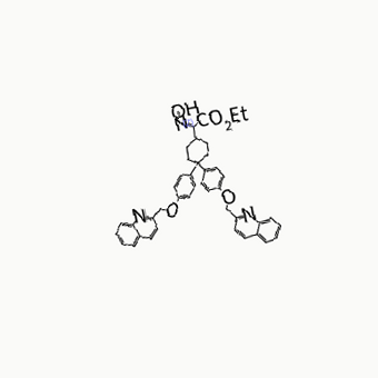 CCOC(=O)/C(=N\O)C1CCC(c2ccc(OCc3ccc4ccccc4n3)cc2)(c2ccc(OCc3ccc4ccccc4n3)cc2)CC1